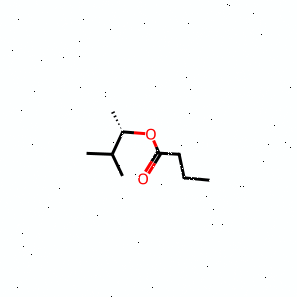 CCCC(=O)O[C@@H](C)C(C)C